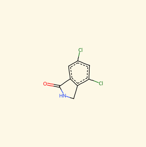 O=C1NCc2c(Cl)cc(Cl)cc21